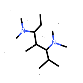 CCC(C(C)C(C(C)C)N(C)C)N(C)C